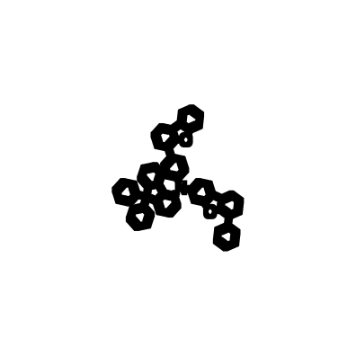 c1ccc(-c2cccc3c2oc2cc(N(c4ccc(-c5cccc6c5oc5ccccc56)cc4)c4cccc5c4-c4ccccc4C5(c4ccccc4)c4ccccc4)ccc23)cc1